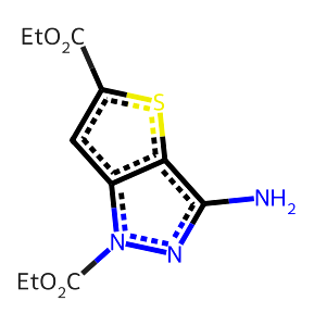 CCOC(=O)c1cc2c(s1)c(N)nn2C(=O)OCC